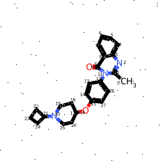 Cc1nc2ccccc2c(=O)n1-c1ccc(OC2CCN(C3CCC3)CC2)cc1